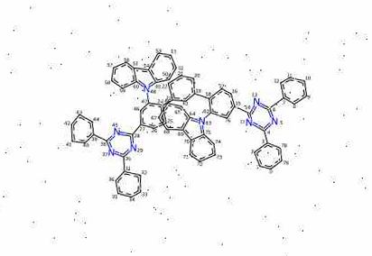 c1ccc(-c2nc(-c3ccccc3)nc(-c3ccc(-c4cccc(-c5ccc(-c6nc(-c7ccccc7)nc(-c7ccccc7)n6)cc5-n5c6ccccc6c6ccccc65)c4)c(-n4c5ccccc5c5ccccc54)c3)n2)cc1